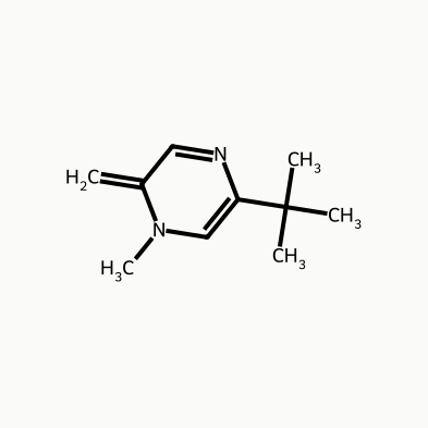 C=C1C=NC(C(C)(C)C)=CN1C